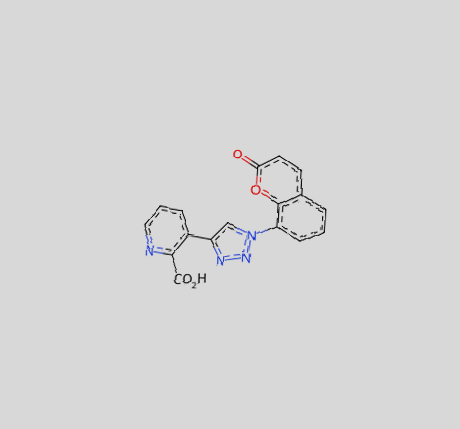 O=C(O)c1ncccc1-c1cn(-c2cccc3ccc(=O)oc23)nn1